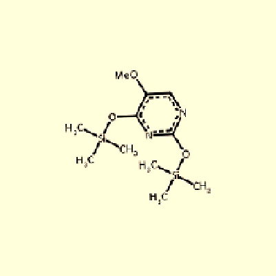 COc1cnc(O[Si](C)(C)C)nc1O[Si](C)(C)C